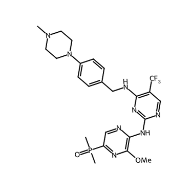 COc1nc(P(C)(C)=O)cnc1Nc1ncc(C(F)(F)F)c(NCc2ccc(N3CCN(C)CC3)cc2)n1